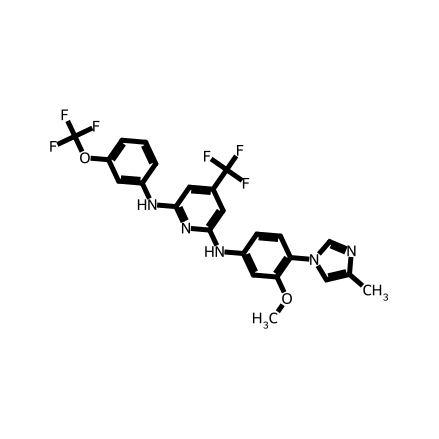 COc1cc(Nc2cc(C(F)(F)F)cc(Nc3cccc(OC(F)(F)F)c3)n2)ccc1-n1cnc(C)c1